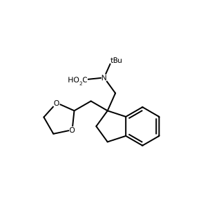 CC(C)(C)N(CC1(CC2OCCO2)CCc2ccccc21)C(=O)O